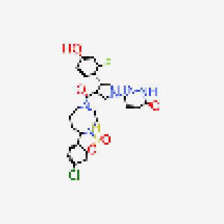 O=C1C=CC(N2CC(C(=O)N3CCCC(C4=CC=C(Cl)CC4)N([SH](=O)=O)CC3)[C@H](C3C=CC(O)=CC3F)C2)NN1